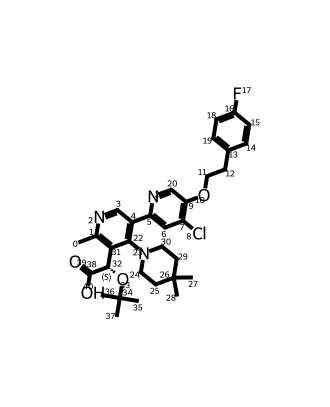 Cc1ncc(-c2cc(Cl)c(OCCc3ccc(F)cc3)cn2)c(N2CCC(C)(C)CC2)c1[C@H](OC(C)(C)C)C(=O)O